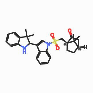 CC1(C)c2ccccc2NC1c1cn(S(=O)(=O)C[C@@]23CC[C@@H](CC2=O)C3(C)C)c2ccccc12